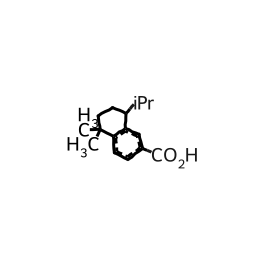 CC(C)C1CCC(C)(C)c2ccc(C(=O)O)cc21